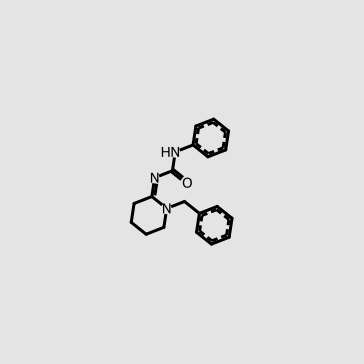 O=C(/N=C1/CCCCN1Cc1ccccc1)Nc1ccccc1